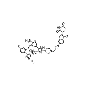 Cc1nc(C2CCN(CC3CN(c4ccc5c(c4)CN(C4CCC(=O)NC4=O)C5=O)C3)CC2)[nH]c1-c1cnc(N)c(O[C@H](C)c2cc(F)ccc2-c2ccn(C)n2)c1